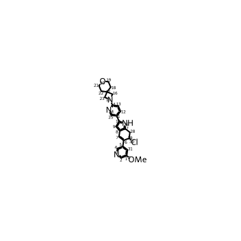 COc1cncc(C2=Cc3cc(-c4ccc(N5CC6(CCOCC6)C5)nc4)[nH]c3CC2Cl)c1